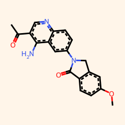 COc1ccc2c(c1)CN(c1ccc3ncc(C(C)=O)c(N)c3c1)C2=O